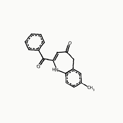 Cc1ccc2c(c1)CC(=O)C=C(C(=O)c1ccccc1)N2